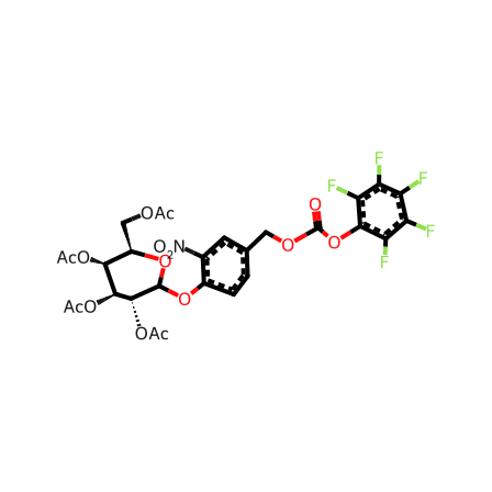 CC(=O)OC[C@H]1OC(Oc2ccc(COC(=O)Oc3c(F)c(F)c(F)c(F)c3F)cc2[N+](=O)[O-])[C@H](OC(C)=O)[C@@H](OC(C)=O)[C@H]1OC(C)=O